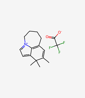 CC1=CC2=C3C(=CC=[N+]3CCCC2)C1(C)C.O=C([O-])C(F)(F)F